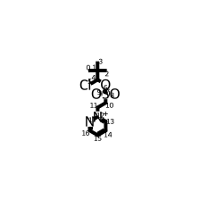 CC(C)(C)C(Cl)OS(=O)(=O)CC[n+]1ccccn1